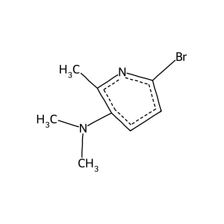 Cc1nc(Br)ccc1N(C)C